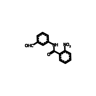 O=Cc1cccc(NC(=O)c2ccccc2[N+](=O)[O-])c1